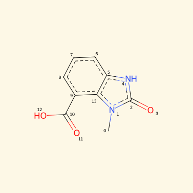 Cn1c(=O)[nH]c2cccc(C(=O)O)c21